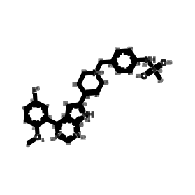 COc1ccc(F)cc1-c1ncnc2[nH]c(C3=CCN(Cc4ccc(NS(C)(=O)=O)cc4)CC3)cc12